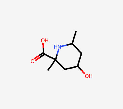 CC1CC(O)CC(C)(C(=O)O)N1